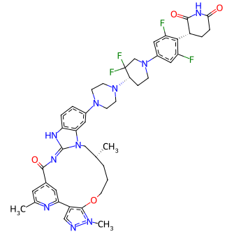 Cc1cc2cc(n1)-c1cnn(C)c1OCCC[C@@H](C)CN1/C(=N/C2=O)Nc2ccc(N3CCN([C@H]4CCN(c5cc(F)c([C@H]6CCC(=O)NC6=O)c(F)c5)CC4(F)F)CC3)cc21